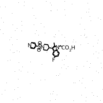 Cc1c(C2CCN(S(=O)(=O)c3ccncc3)CC2)c2cc(F)ccc2n1CC(=O)O